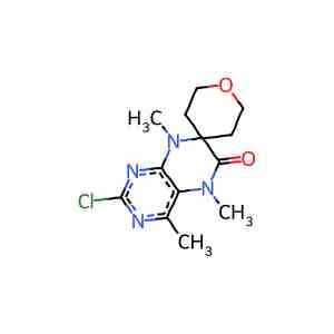 Cc1nc(Cl)nc2c1N(C)C(=O)C1(CCOCC1)N2C